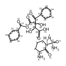 N[C@H]1CCCN(P(N)(N)=O)C1=O.O=C(OC(=O)[C@](O)(C(=O)c1ccccc1)[C@H](O)C(=O)O)c1ccccc1